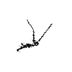 CCCCCCCCCCCCCCCCCCCCOc1cccc(C(=O)Nc2ccn([C@H]3CC(OC(=O)CCC(C)=O)[C@@H](CO)O3)c(=O)n2)c1OCCCCCCCCCCCCCCCCCCCC